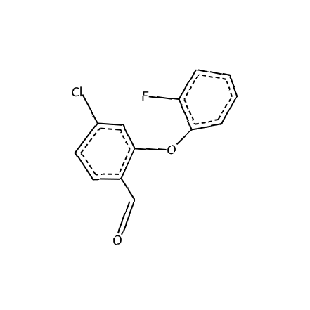 O=Cc1ccc(Cl)cc1Oc1ccccc1F